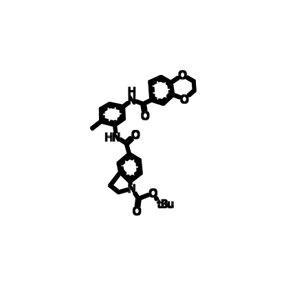 Cc1ccc(NC(=O)c2ccc3c(c2)OCCO3)cc1NC(=O)c1ccc2c(c1)CCN2C(=O)OC(C)(C)C